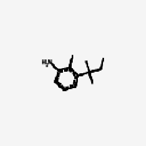 CCC(C)(C)c1cccc(N)c1C